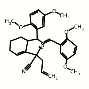 C=CCC(C#N)(C#N)C1=CCCCC1C(C=Cc1cc(OC)ccc1OC)c1cc(OC)ccc1OC